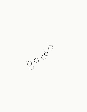 COc1ccc(-c2[nH]c3ccc(-c4ccc(-c5cncc6ccccc56)cc4)cc3c2C(C)C)cc1OC